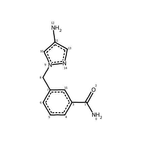 NC(=O)c1cccc(Cn2cc(N)cn2)c1